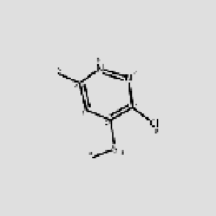 CSc1cc(C)nnc1Cl